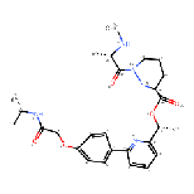 CC(C)[C@@H](C)NC(=O)COc1ccc(-c2cccc([C@@H](C)OC(=O)[C@@H]3CCCN(C(=O)[C@H](C)NC=O)N3)n2)cc1